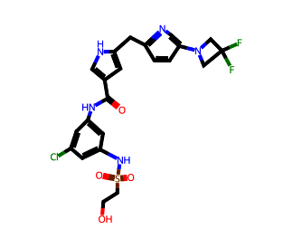 O=C(Nc1cc(Cl)cc(NS(=O)(=O)CCO)c1)c1c[nH]c(Cc2ccc(N3CC(F)(F)C3)cn2)c1